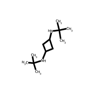 CC(C)(C)NC1CC(NC(C)(C)C)C1